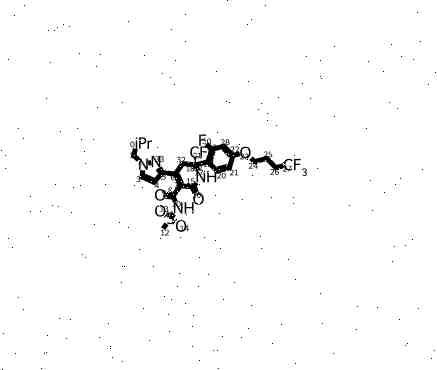 CC(C)Cn1ccc(C2=C(C(=O)NS(C)(=O)=O)C(=O)N[C@@](c3ccc(OCCCC(F)(F)F)cc3F)(C(F)(F)F)C2)n1